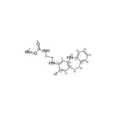 CC(C)(C)OC(=O)NCCNc1cc2c(cc1I)CCc1ccccc1N2